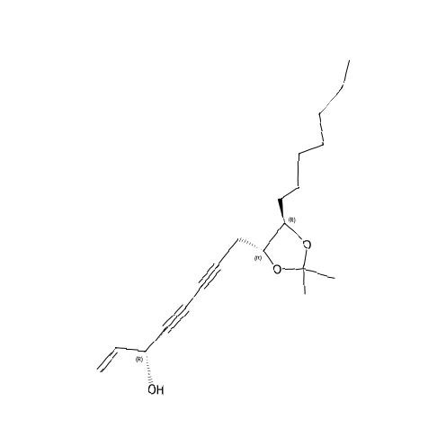 C=C[C@@H](O)C#CC#CC[C@H]1OC(C)(C)O[C@@H]1CCCCCCC